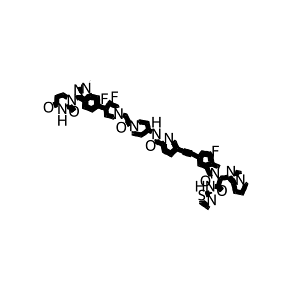 Cn1nc(N2CCC(=O)NC2=O)c2ccc(C3CCN(CC(=O)N4CCC(NC(=O)c5ccc(C#Cc6cc(F)c7c(c6)C(=O)N(C(C(=O)Nc6nccs6)c6ncn8c6CCC8)C7)cn5)CC4)CC3(F)F)cc21